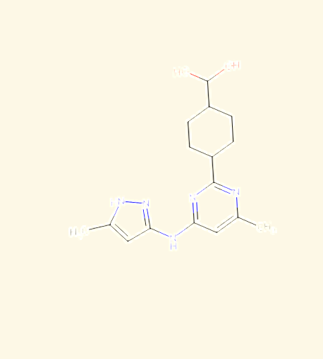 Cc1cc(Nc2cc(C)[nH]n2)nc(C2CCC(C(O)O)CC2)n1